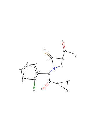 CC(=O)C1CN(C(C(=O)C2CC2)c2ccccc2F)C1=S